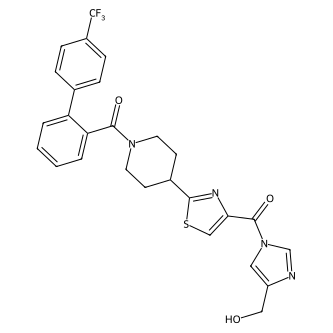 O=C(c1ccccc1-c1ccc(C(F)(F)F)cc1)N1CCC(c2nc(C(=O)n3cnc(CO)c3)cs2)CC1